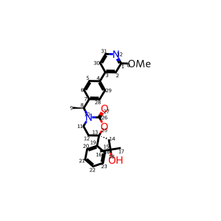 COc1cc(-c2ccc([C@H](C)N3CC[C@](CC(C)(C)O)(c4ccccc4)OC3=O)cc2)ccn1